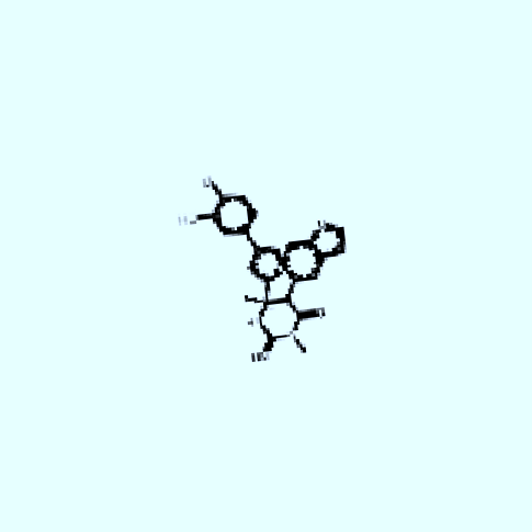 CN1C(=N)N[C@](C)(c2cc(-c3ccc(Cl)c(O)c3)cs2)C(c2ccc3occc3c2)C1=O